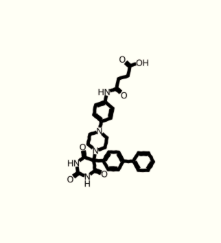 O=C(O)CCC(=O)Nc1ccc(N2CCN(C3(c4ccc(-c5ccccc5)cc4)C(=O)NC(=O)NC3=O)CC2)cc1